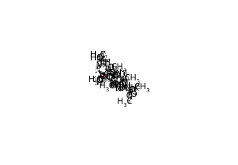 CCOP(=O)(CNC(=O)O[C@@H]1[C@]2(CC)C=CCN3CC[C@@]4(c5cc([C@@]6(C(=O)OC)C[C@H]7CN(CCc8c6[nH]c6ccccc86)C[C@](O)(CC)C7)c(OC)cc5N(C)[C@H]4[C@@]1(O)C(N)=O)[C@@H]32)OCC